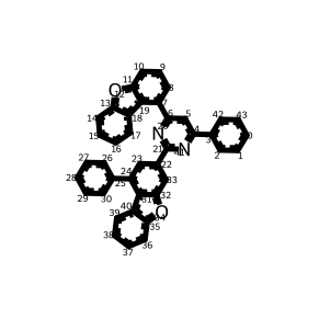 c1ccc(-c2cc(-c3cccc4oc5ccccc5c34)nc(-c3cc(-c4ccccc4)c4c(c3)oc3ccccc34)n2)cc1